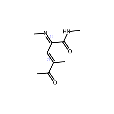 C/N=C(\C=C(/C)C(C)=O)C(=O)NC